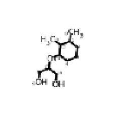 CC1CCCC(OC(CO)CO)C1C